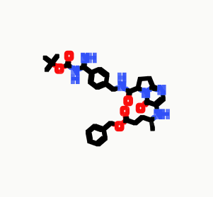 C[C@@H](CCC(=O)OCc1ccccc1)Nc1cnc2n(c1=O)C(C(=O)NCc1ccc(C(=N)NC(=O)OC(C)(C)C)cc1)CC2